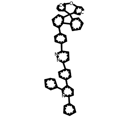 c1ccc(-c2ccc(-c3ccc(-c4ccc(-c5ccc(-c6cccc7c6-c6ccccc6C76c7ccccc7Oc7ccccc76)cc5)nn4)cc3)c(-c3ccccc3)n2)cc1